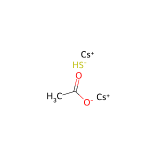 CC(=O)[O-].[Cs+].[Cs+].[SH-]